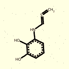 C=S=[C]Nc1cccc(O)c1O